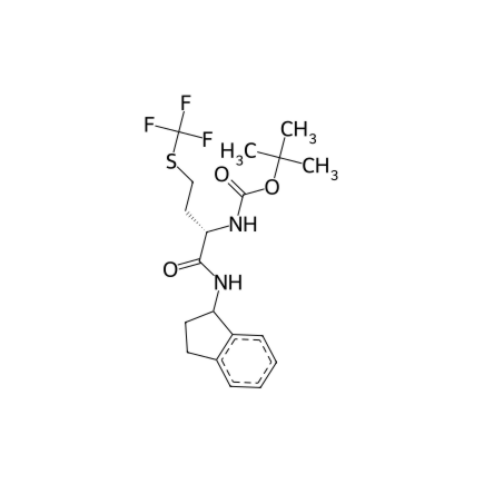 CC(C)(C)OC(=O)N[C@@H](CCSC(F)(F)F)C(=O)NC1CCc2ccccc21